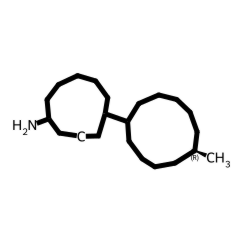 C[C@@H]1CCCCCC(C2CCCCCC(N)CCC2)CCCC1